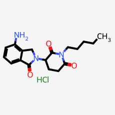 CCCCCN1C(=O)CCC(N2Cc3c(N)cccc3C2=O)C1=O.Cl